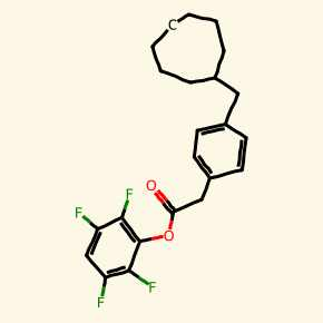 O=C(Cc1ccc(CC2CCCCCCC2)cc1)Oc1c(F)c(F)cc(F)c1F